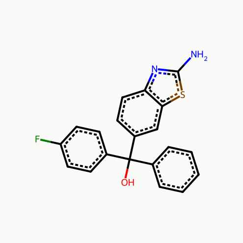 Nc1nc2ccc(C(O)(c3ccccc3)c3ccc(F)cc3)cc2s1